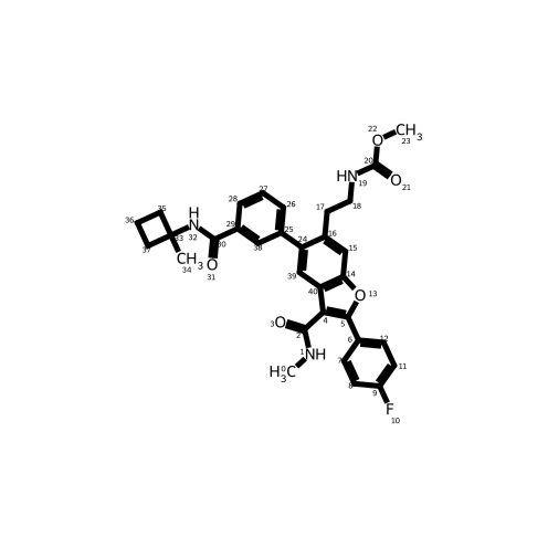 CNC(=O)c1c(-c2ccc(F)cc2)oc2cc(CCNC(=O)OC)c(-c3cccc(C(=O)NC4(C)CCC4)c3)cc12